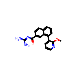 COc1ncccc1-c1cccc2ccc(C(=O)N=C(N)N)cc12